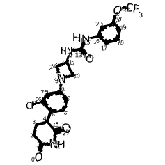 O=C1CCC(c2ccc(N3CC(NC(=O)Nc4cccc(OC(F)(F)F)c4)C3)cc2Cl)C(=O)N1